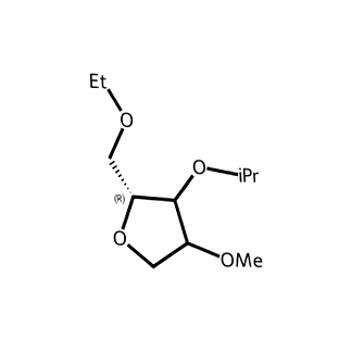 CCOC[C@H]1OCC(OC)C1OC(C)C